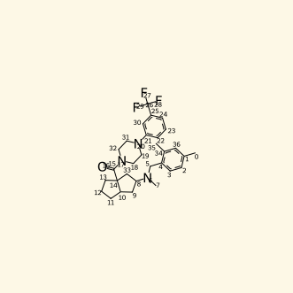 Cc1ccc(CN(C)C2CC3CCCC3(C(=O)N3CCN(c4cccc(C(F)(F)F)c4)CC3)C2)c(C)c1